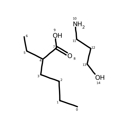 CCCCC(CC)C(=O)O.NCCCO